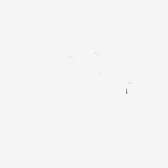 O=S(=O)(c1ccccc1)c1c(-c2noc([C@@H]3C[C@H]3c3ccccc3)n2)[nH]c2ccc(Cl)cc12